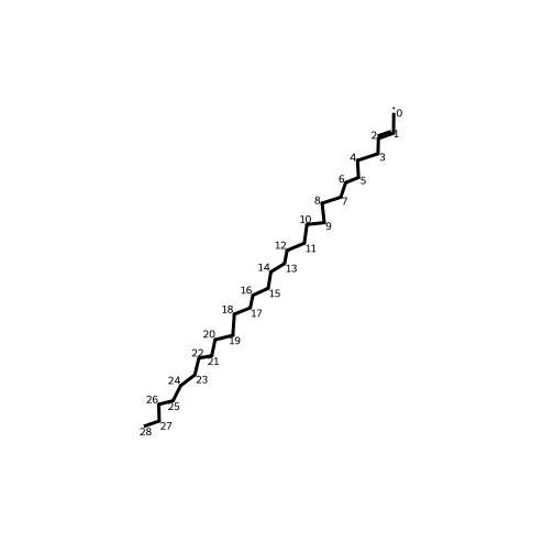 [CH2]C=CCCCCCCCCCCCCCCCCCCCCCCCCCC